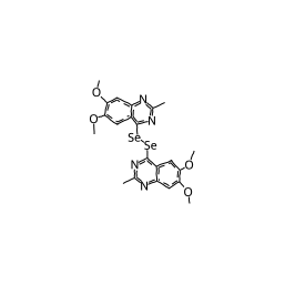 COc1cc2nc(C)nc([Se][Se]c3nc(C)nc4cc(OC)c(OC)cc34)c2cc1OC